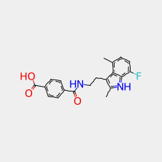 Cc1[nH]c2c(F)ccc(C)c2c1CCNC(=O)c1ccc(C(=O)O)cc1